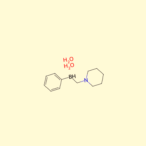 B(CN1CCCCC1)c1ccccc1.O.O